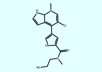 CN(CCC#N)C(=O)c1cc(C2=C3C=CNC3N(C)C=C2Cl)c[nH]1